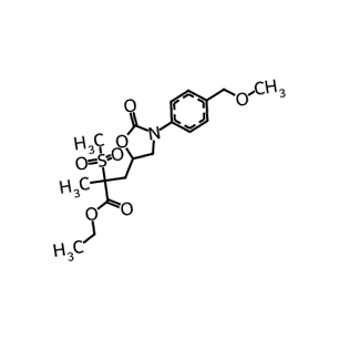 CCOC(=O)C(C)(CC1CN(c2ccc(COC)cc2)C(=O)O1)S(C)(=O)=O